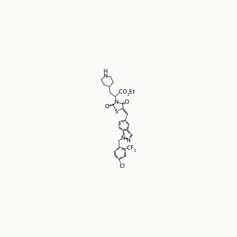 CCOC(=O)C(CC1CCNCC1)N1C(=O)S/C(=C\c2ccc3c(cnn3Cc3ccc(Cl)cc3C(F)(F)F)c2)C1=O